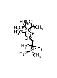 CC(C)[Si](OCCC(C)(C)[Si](C)C)(C(C)C)C(C)C